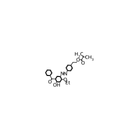 C=C(C)C(=O)OCCc1ccc(/N=N/c2cc(C(=O)c3ccccc3)c(O)cc2OCC)cc1